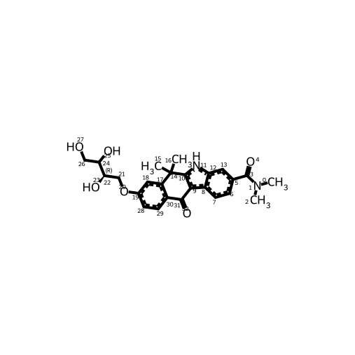 CN(C)C(=O)c1ccc2c3c([nH]c2c1)C(C)(C)c1cc(OC[C@@H](O)C(O)CO)ccc1C3=O